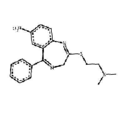 CN(C)CCSC1=Nc2ccc([N+](=O)[O-])cc2C(c2ccccc2)=NC1